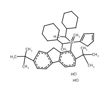 Cl.Cl.[CH2]=[Zr]([C]1=CC=CC1)([c]1c(C(C)(C)C)ccc2c1Cc1cc(C(C)(C)C)ccc1-2)([CH](C)C1CCCCC1)[CH](C)C1CCCCC1